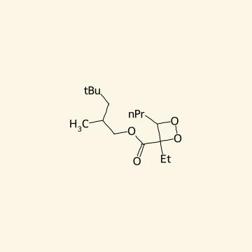 CCCC1OOC1(CC)C(=O)OCC(C)CC(C)(C)C